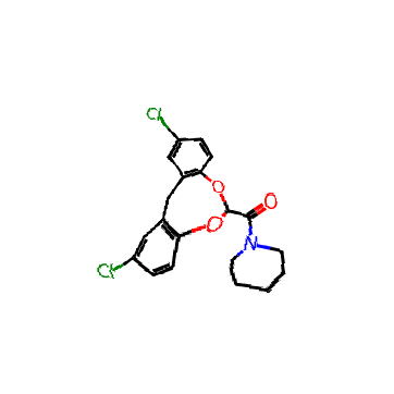 O=C(C1Oc2ccc(Cl)cc2Cc2cc(Cl)ccc2O1)N1CCCCC1